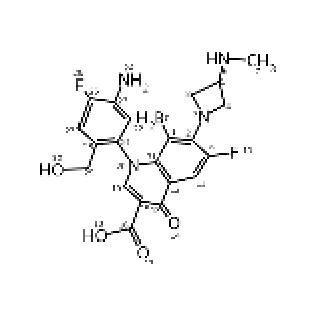 Bc1c(N2CC(NC)C2)c(F)cc2c(=O)c(C(=O)O)cn(-c3cc(N)c(F)cc3CO)c12